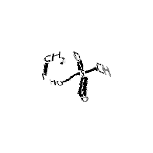 CF.O=S(=O)(O)O